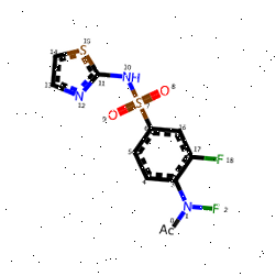 CC(=O)N(F)c1ccc(S(=O)(=O)Nc2nccs2)cc1F